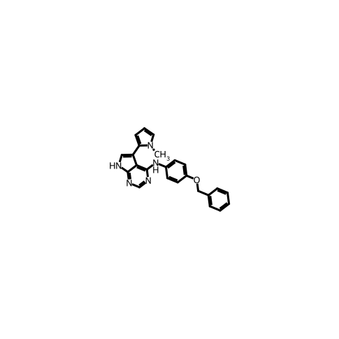 Cn1cccc1-c1c[nH]c2ncnc(Nc3ccc(OCc4ccccc4)cc3)c12